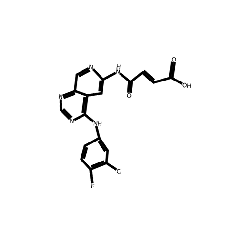 O=C(O)C=CC(=O)Nc1cc2c(Nc3ccc(F)c(Cl)c3)ncnc2cn1